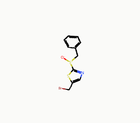 [O-][S+](Cc1ccccc1)c1ncc(CBr)s1